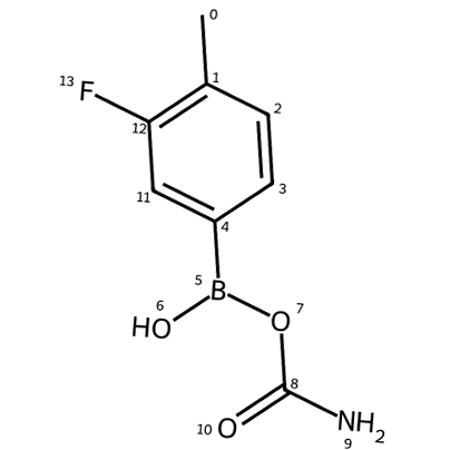 Cc1ccc(B(O)OC(N)=O)cc1F